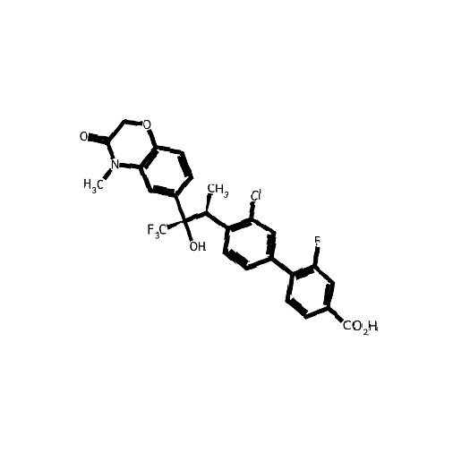 C[C@@H](c1ccc(-c2ccc(C(=O)O)cc2F)cc1Cl)[C@](O)(c1ccc2c(c1)N(C)C(=O)CO2)C(F)(F)F